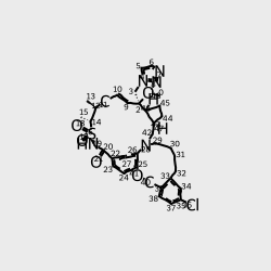 CO[C@]1(Cn2ccnn2)/C=C/C[C@H](C)[C@@H](C)S(=O)(=O)NC(=O)c2ccc3c(c2)N(CCCCc2cc(Cl)ccc2CO3)C[C@@H]2CC[C@H]21